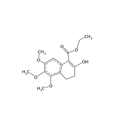 CCOC(=O)C1=C(O)CCc2c1cc(OC)c(OC)c2OC